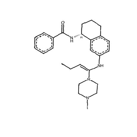 CCC=C(Nc1ccc2c(c1)[C@H](NC(=O)c1ccccc1)CCC2)N1CCN(I)CC1